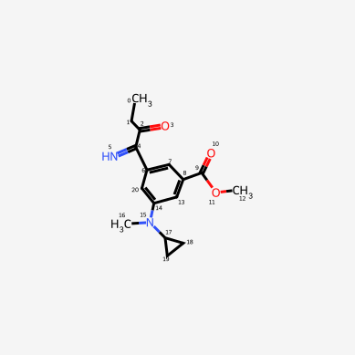 CCC(=O)C(=N)c1cc(C(=O)OC)cc(N(C)C2CC2)c1